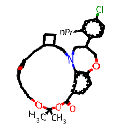 CCCc1cc(Cl)ccc1C1COc2ccc3cc2N(C1)CC1CCC1CC1=CC(CCOC(C)(C)OC3=O)C1